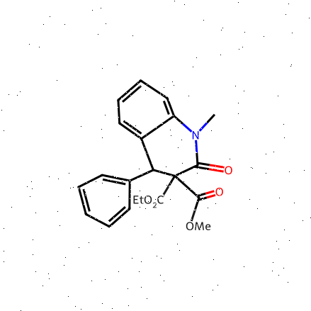 CCOC(=O)C1(C(=O)OC)C(=O)N(C)c2ccccc2C1c1ccccc1